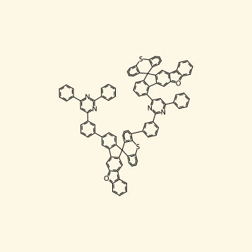 c1ccc(-c2cc(-c3cccc(-c4ccc5c(c4)-c4cc6oc7ccccc7c6cc4C54c5ccccc5Sc5c(-c6cccc(-c7nc(-c8ccccc8)cc(-c8cccc9c8-c8cc%10oc%11ccccc%11c%10cc8C98c9ccccc9Sc9ccccc98)n7)c6)cccc54)c3)nc(-c3ccccc3)n2)cc1